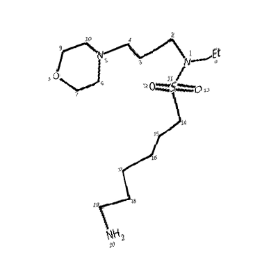 CCN(CCCN1CCOCC1)S(=O)(=O)CCCCCCN